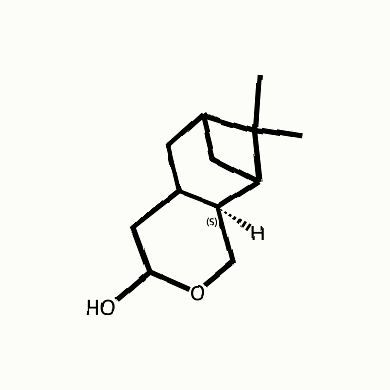 CC1(C)C2CC3CC(O)OC[C@@H]3C1C2